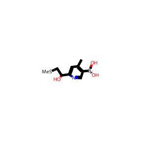 CSCC(O)c1cc(C)c(B(O)O)cn1